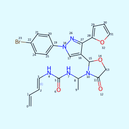 C=C/C=C/NC(=O)NC(C)N1C(=O)COC1c1cn(-c2ccc(Br)cc2)nc1-c1ccco1